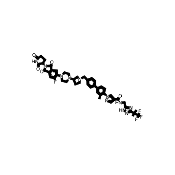 Cc1cc(-c2ccc(CN3CCC(N4CCN(c5cc6c(cc5F)C(=O)N(C5CCC(=O)NC5=O)C6=O)CC4)C3)cc2)ccc1-n1cc(C(=O)NCc2nc(C(C)(C)C(F)(F)F)n[nH]2)cn1